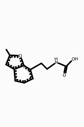 Cc1cc2cccc(CCNC(=O)O)c2o1